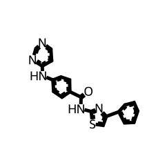 O=C(Nc1nc(-c2ccccc2)cs1)c1ccc(Nc2ccncn2)cc1